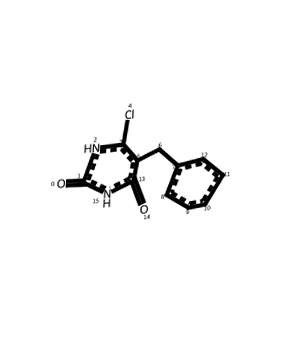 O=c1[nH]c(Cl)c(Cc2ccccc2)c(=O)[nH]1